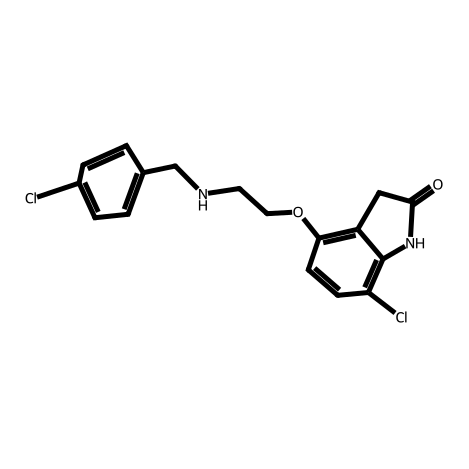 O=C1Cc2c(OCCNCc3ccc(Cl)cc3)ccc(Cl)c2N1